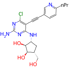 CCCc1ccc(C#Cc2c(Cl)nc(N)nc2N[C@@H]2C[C@H](CO)[C@@H](O)[C@H]2O)cn1